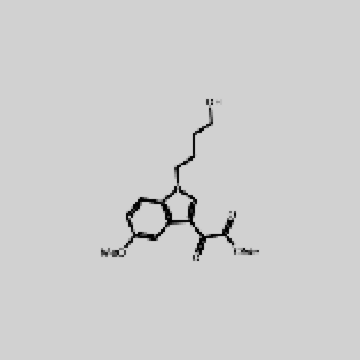 COC(=O)C(=O)c1cn(CCCCO)c2ccc(OC)cc12